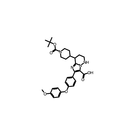 COc1ccc(Oc2ccc(-c3nc4n(c3C(=O)O)NCCC4C3CCN(C(=O)OC(C)(C)C)CC3)cc2)cc1